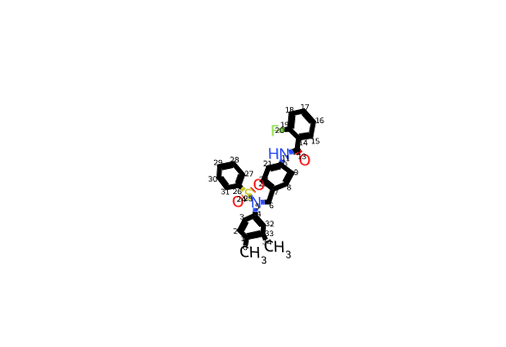 Cc1ccc(N(Cc2ccc(NC(=O)c3ccccc3F)cc2)S(=O)(=O)c2ccccc2)cc1C